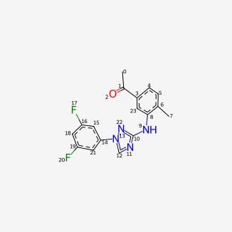 CC(=O)c1ccc(C)c(Nc2ncn(-c3cc(F)cc(F)c3)n2)c1